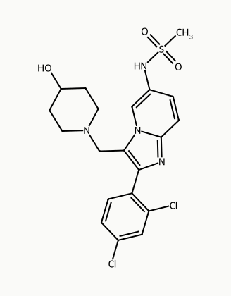 CS(=O)(=O)Nc1ccc2nc(-c3ccc(Cl)cc3Cl)c(CN3CCC(O)CC3)n2c1